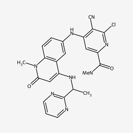 CNC(=O)c1cc(Nc2ccc3c(c2)c(NC(C)c2ncccn2)cc(=O)n3C)c(C#N)c(Cl)n1